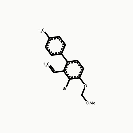 C=Cc1c(-c2ccc(C)cc2)ccc(OCOC)c1Br